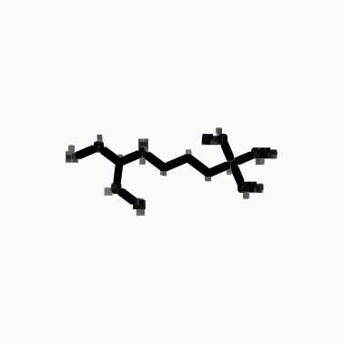 CCOC(NCCC[Si](OC)(OC)OC)OCC